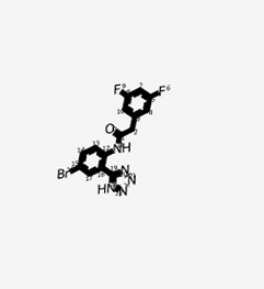 O=C(Cc1cc(F)cc(F)c1)Nc1ccc(Br)cc1-c1nnn[nH]1